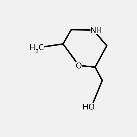 CC1CNCC(CO)O1